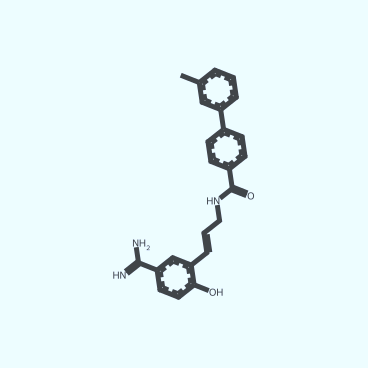 Cc1cccc(-c2ccc(C(=O)NC/C=C/c3cc(C(=N)N)ccc3O)cc2)c1